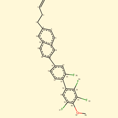 C=CCCc1ccc2cc(-c3ccc(-c4cc(F)c(OC)c(F)c4F)c(F)c3)ccc2c1